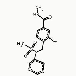 CS(=O)(=O)N(Cc1ccc(C(=O)NN)cc1F)c1cncnc1